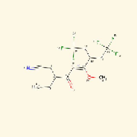 CCC(CC#N)C(=O)/C=C(\OC)C(CC(F)(F)F)CC(F)(F)F